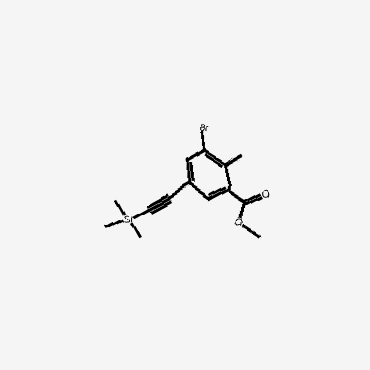 COC(=O)c1cc(C#C[Si](C)(C)C)cc(Br)c1C